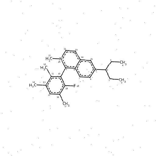 CCC(CC)c1ccc2c(-c3c(C)c(C)cc(C)c3F)[n+](C)ccc2c1